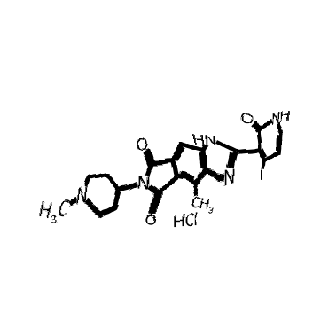 Cc1c2c(cc3[nH]c(-c4c(I)cc[nH]c4=O)nc13)C(=O)N(C1CCN(C)CC1)C2=O.Cl